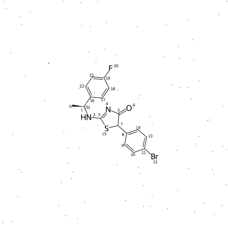 C[C@H](NC1=NC(=O)C(c2ccc(Br)cc2)S1)c1ccc(F)cc1